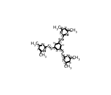 Cc1cc(C)nc(SSc2cc(SSc3nc(C)cc(C)n3)cc(SSc3nc(C)cc(C)n3)c2)n1